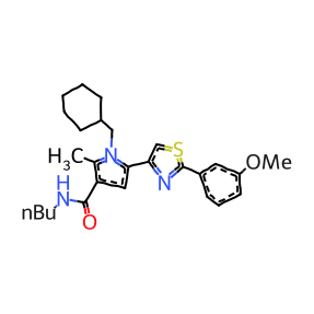 CCCCNC(=O)c1cc(-c2csc(-c3cccc(OC)c3)n2)n(CC2CCCCC2)c1C